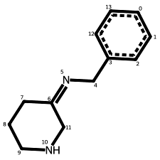 c1ccc(CN=C2CCCNC2)cc1